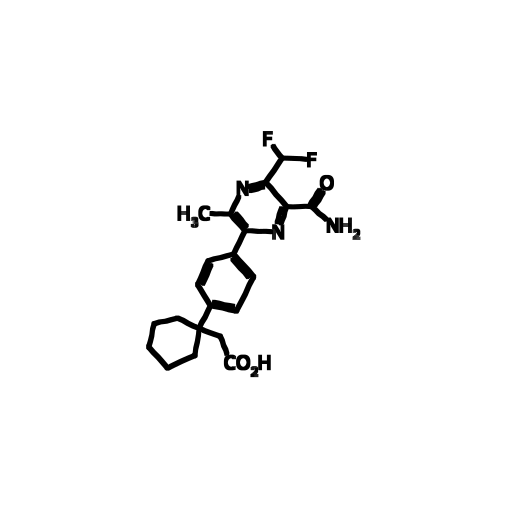 Cc1nc(C(F)F)c(C(N)=O)nc1-c1ccc(C2(CC(=O)O)CCCCC2)cc1